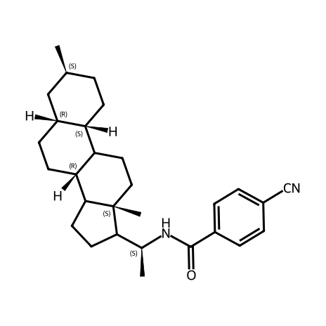 C[C@H]1CC[C@@H]2C3CC[C@@]4(C)C(CCC4[C@H](C)NC(=O)c4ccc(C#N)cc4)[C@@H]3CC[C@@H]2C1